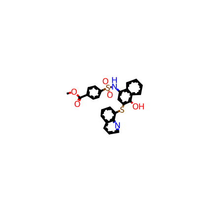 COC(=O)c1ccc(S(=O)(=O)Nc2cc(Sc3cccc4cccnc34)c(O)c3ccccc23)cc1